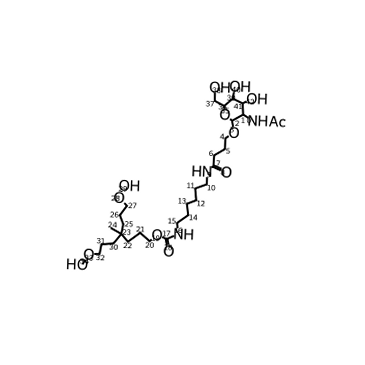 CC(=O)NC1C(OCCCC(=O)NCCCCCCNC(=O)OCCCC(C)(CCCOO)CCCOO)OC(CO)C(O)C1O